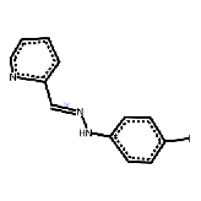 Ic1ccc(N/N=C/c2ccccn2)cc1